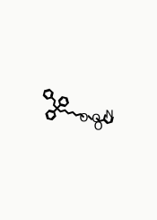 O=C(OCCOCCCCCCC(CCc1ccccc1)(c1ccccc1)c1ccccc1)c1cccnc1